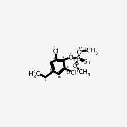 CCc1cc(Cl)c(OP(=S)(OC)OC)c(Cl)c1